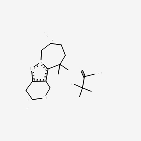 C[C@@H]1Cc2nn3c(c2CN1)C(F)(F)CC[C@@H](O)C3.O=C(O)C(F)(F)F